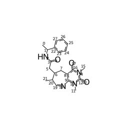 CC(NC(=O)CC1Cc2c(n(C)c(=O)n(C)c2=O)N=CC1C)c1ccccc1